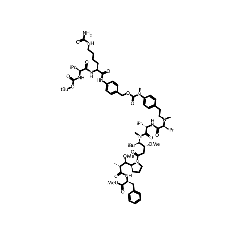 CC[C@H](C)[C@@H]([C@@H](CC(=O)N1CCC[C@H]1[C@H](OC)[C@@H](C)C(=O)N[C@@H](Cc1ccccc1)C(=O)OC)OC)N(C)C(=O)[C@@H](NC(=O)[C@H](C(C)C)N(C)CCc1ccc(N(C)C(=O)OCc2ccc(NC(=O)[C@H](CCCCNC(N)=O)NC(=O)[C@@H](NC(=O)OC(C)(C)C)C(C)C)cc2)cc1)C(C)C